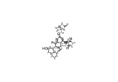 C#Cc1cccc2cc(O)cc(-c3ncc4c(N5C[C@H]6CC[C@@H](C5)N6)nc(OCC56CCN5CC(=C)C6)nc4c3F)c12